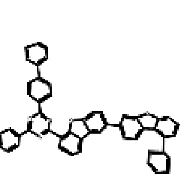 c1ccc(-c2ccc(-c3nc(-c4ccccc4)nc(-c4cccc5c4oc4ccc(-c6ccc7c(c6)sc6cccc(-c8ccccc8)c67)cc45)n3)cc2)cc1